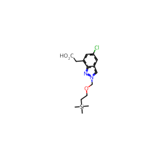 C[Si](C)(C)CCOCn1cc2cc(Cl)cc(CC(=O)O)c2n1